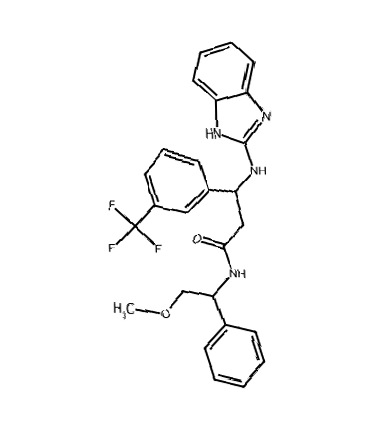 COCC(NC(=O)CC(Nc1nc2ccccc2[nH]1)c1cccc(C(F)(F)F)c1)c1ccccc1